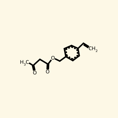 C=Cc1ccc(COC(=O)CC(C)=O)cc1